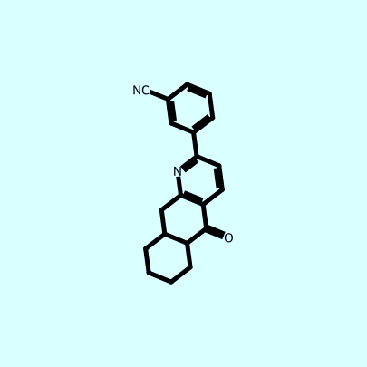 N#Cc1cccc(-c2ccc3c(n2)CC2CCCCC2C3=O)c1